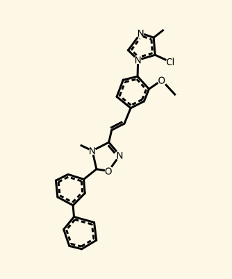 COc1cc(/C=C/C2=NOC(c3cccc(-c4ccccc4)c3)N2C)ccc1-n1cnc(C)c1Cl